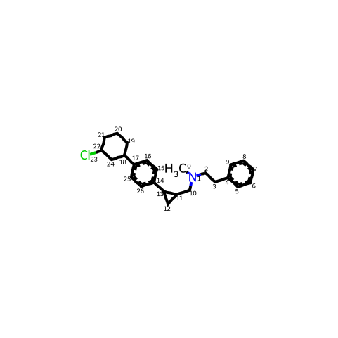 CN(CCc1ccccc1)CC1CC1c1ccc(C2CCCC(Cl)C2)cc1